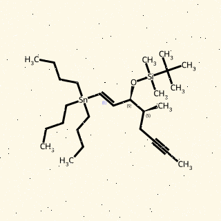 CC#CC[C@H](C)[C@@H](/C=[CH]/[Sn]([CH2]CCC)([CH2]CCC)[CH2]CCC)O[Si](C)(C)C(C)(C)C